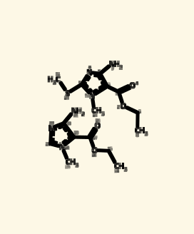 CCOC(=O)c1c(N)nc(SC)n1C.CCOC(=O)c1c(N)ncn1C